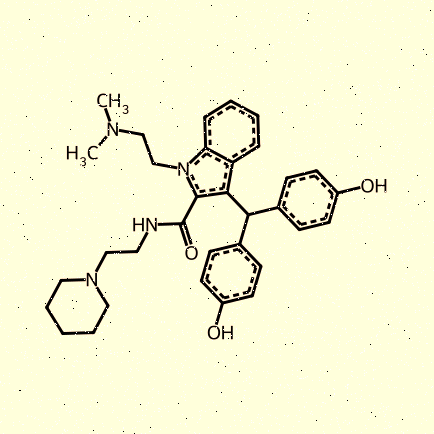 CN(C)CCn1c(C(=O)NCCN2CCCCC2)c(C(c2ccc(O)cc2)c2ccc(O)cc2)c2ccccc21